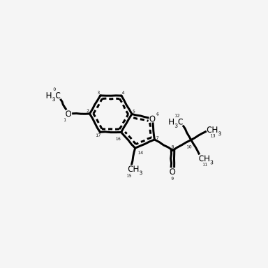 COc1ccc2oc(C(=O)C(C)(C)C)c(C)c2c1